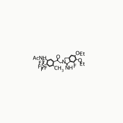 CCOc1cc2c(c(F)c1OCC)C(=N)N(CC(=O)c1cc(NC(C)=O)c(S(F)(F)(F)(F)F)cc1C)C2